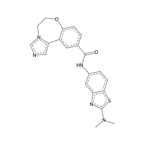 CN(C)c1nc2cc(NC(=O)c3ccc4c(c3)-c3cncn3CCO4)ccc2s1